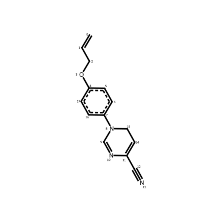 C=CCOc1ccc(N2C=NC(C#N)=CC2)cc1